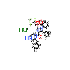 Cl.O=C(c1ncn(C2CCCCC2(O)COCC(F)(F)F)c1-c1ccccc1)N1CCNC[C@H]1Cc1ccccc1